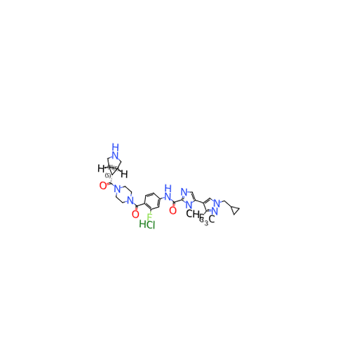 Cl.Cn1c(-c2cn(CC3CC3)nc2C(F)(F)F)cnc1C(=O)Nc1ccc(C(=O)N2CCN(C(=O)[C@@H]3[C@@H]4CNC[C@@H]43)CC2)c(F)c1